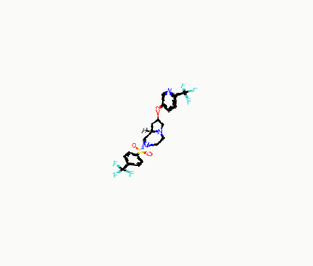 O=S(=O)(c1ccc(C(F)(F)F)cc1)N1CCN2C[C@H](Oc3ccc(C(F)(F)F)nc3)C[C@H]2C1